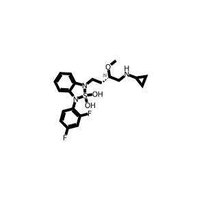 CO[C@@H](CCN1c2ccccc2N(c2ccc(F)cc2F)S1(O)O)CNC1CC1